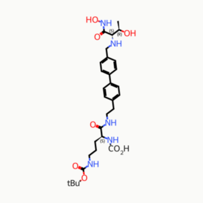 C[C@@H](O)[C@H](NCc1ccc(-c2ccc(CCNC(=O)[C@H](CCCNC(=O)OC(C)(C)C)NC(=O)O)cc2)cc1)C(=O)NO